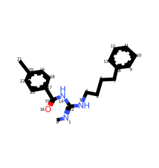 C/N=C(/NCCCCc1ccccc1)NC(=O)c1ccc(C)cc1